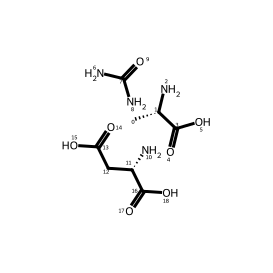 C[C@H](N)C(=O)O.NC(N)=O.N[C@@H](CC(=O)O)C(=O)O